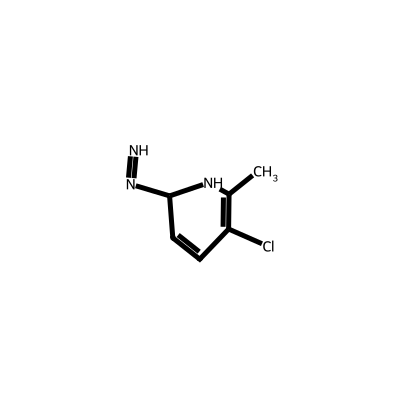 CC1=C(Cl)C=CC(N=N)N1